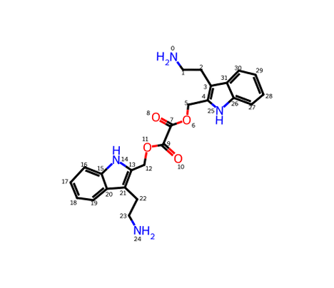 NCCc1c(COC(=O)C(=O)OCc2[nH]c3ccccc3c2CCN)[nH]c2ccccc12